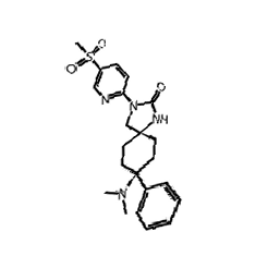 CN(C)[C@]1(c2ccccc2)CC[C@@]2(CC1)CN(c1ccc(S(C)(=O)=O)cn1)C(=O)N2